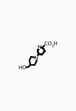 O=C(O)c1ccc(N2CCC(CO)CC2)cn1